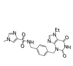 CCn1cnc2c1c(=O)[nH]c(=O)n2Cc1ccc(CNS(=O)(=O)c2cn(C)cn2)cc1